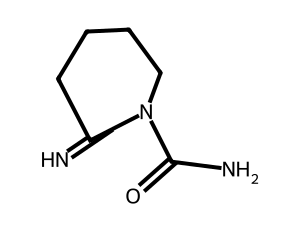 N=C1CCCCN1C(N)=O